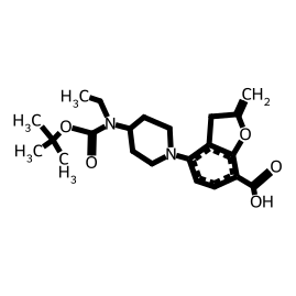 C=C1Cc2c(N3CCC(N(CC)C(=O)OC(C)(C)C)CC3)ccc(C(=O)O)c2O1